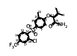 CC(C)=C(Oc1ccc(S(=O)(=O)c2ccc(C(F)(F)F)cc2Cl)cc1C)C(N)=O